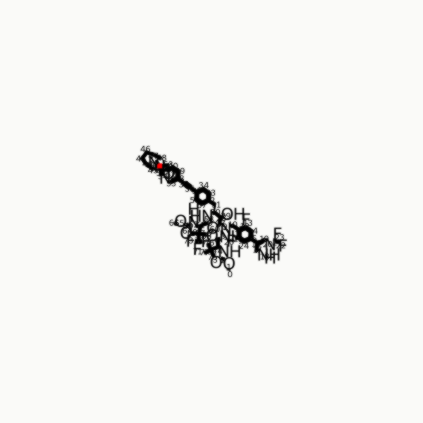 COC(=O)N[C@H](C(=O)NN(Cc1c(F)cc(/C(C=N)=C/NC(F)F)cc1F)C[C@H](O)[C@H](Cc1ccc(C#Cc2ccc(N3CC4CCC(C3)N4C3COC3)nc2)cc1)NC(=O)[C@@H](NC(=O)OC)C(C)(C)C(F)(F)F)C(C)(C)C